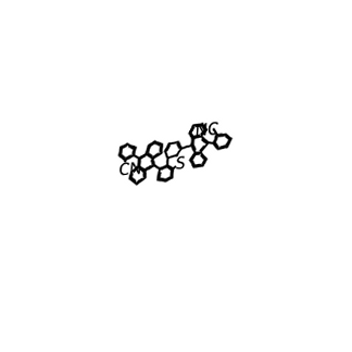 N#Cc1ccccc1-c1c2ccccc2c(C2=CC=CC3c4c(cccc4-c4c5ccccc5c(-c5ccccc5C#N)c5ccccc45)SC23)c2ccccc12